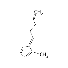 C=CCCC=C1C=CC=C1C